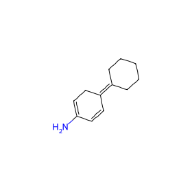 NC1=CCC(=C2CCCCC2)C=C1